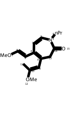 CCCN1C=CC(/C=C/OC)=C(/C=C(\C)OC)CC1=O